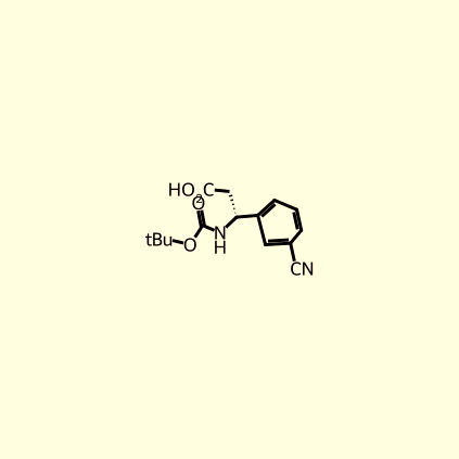 CC(C)(C)OC(=O)N[C@H](CC(=O)O)c1cccc(C#N)c1